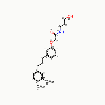 COc1ccc(CCCc2cccc(OCC(=O)NCCCO)c2)cc1OC